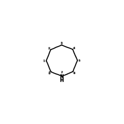 [CH]1CCCCCCN1